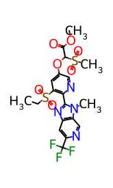 CCS(=O)(=O)c1cc(OC(C(=O)OC)S(C)(=O)=O)cnc1-c1nc2cc(C(F)(F)F)ncc2n1C